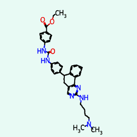 CCOC(=O)c1ccc(NC(=O)Nc2ccc(C3Cc4cnc(NCCCCN(C)C)nc4-c4ccccc43)cc2)cc1